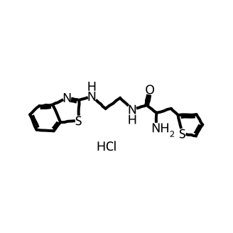 Cl.NC(Cc1cccs1)C(=O)NCCNc1nc2ccccc2s1